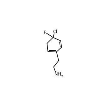 NCCC1=CCC(F)(Cl)C=C1